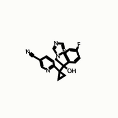 N#Cc1ccc(C2(C(O)(Cn3cncn3)c3ccc(F)cc3)CC2)nc1